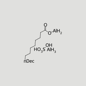 CCCCCCCCCCCCCCCCCC(=O)[O][AlH2].O=S(=O)(O)O.[AlH3]